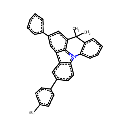 CC(C)(C)c1ccc(-c2ccc3c(c2)c2cc(-c4ccccc4)cc4c2n3-c2ccccc2C4(C)C)cc1